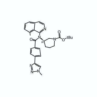 Cc1cccc2ccnc(N(C(=O)c3ccc(-c4cn(C)nn4)cc3)[C@@H]3CCCN(C(=O)OC(C)(C)C)C3)c12